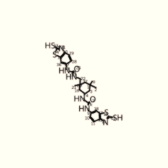 CC1(C)CC(NC(=O)Nc2ccc3nc(S)sc3c2)CC(C)(CNC(=O)Nc2ccc3nc(S)sc3c2)C1